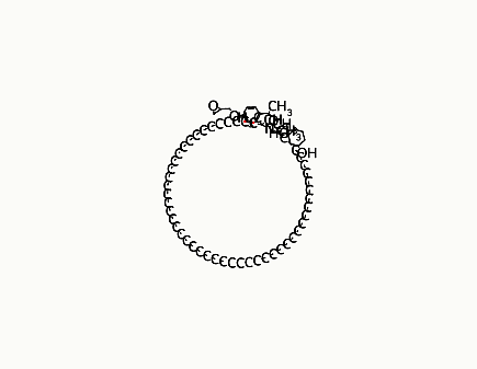 CC(ON1C(C)(C)CCCCCCCCCCCCCCCCCCCCCCCCCCCCCCCCCCCCCCCCCCCCCCCC2(CC1(C)C)C(O)CCCC2O)c1ccc(OCC2CO2)cc1